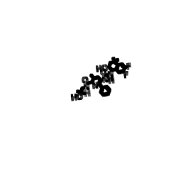 Cc1cc(NC(=O)NC2c3cc(F)c(F)cc3C(C)(C)C[C@H]2O)c(-c2ccccc2)nc1C(=O)NCC(C)(C)O